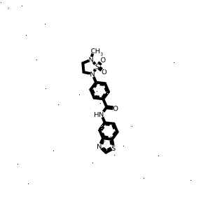 CN1CCN(c2ccc(C(=O)Nc3ccc4scnc4c3)cc2)S1(=O)=O